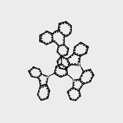 c1ccc2c(c1)c1ccccc1c1cc(-c3cc(-n4c5ccccc5c5ccccc54)cc(-n4c5ccccc5c5cccc(-n6c7ccccc7c7ccccc76)c54)c3)ccc21